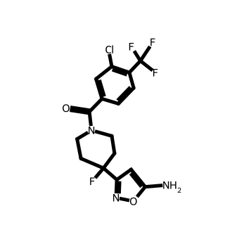 Nc1cc(C2(F)CCN(C(=O)c3ccc(C(F)(F)F)c(Cl)c3)CC2)no1